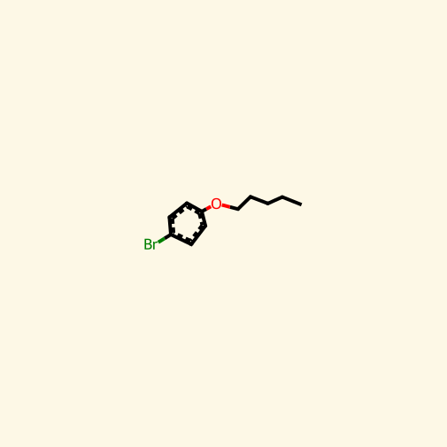 CCCCCOc1ccc(Br)cc1